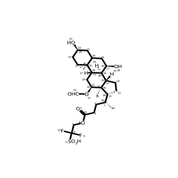 C[C@H](CCC(=O)OCC(F)(F)S(=O)(=O)O)[C@H]1CC[C@H]2[C@@H]3[C@H](O)CC4C[C@H](O)CC[C@]4(C)[C@H]3C[C@H](OC=O)[C@]12C